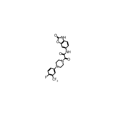 O=C(Nc1ccc2[nH]c(=O)oc2c1)C(=O)N1CCN(c2ccc(F)c(C(F)(F)F)c2)CC1